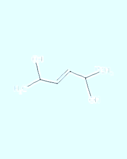 CC(O)C=CC([13CH3])O